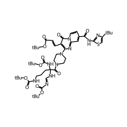 CC(C)(C)OC(=O)C=Cc1c(N2CCN(C(=O)C(CCCNC(=O)OC(C)(C)C)(NC=NC(=O)OC(C)(C)C)NC(=O)OC(C)(C)C)CC2)nc2cc(C(=O)Nc3nc(C(C)(C)C)cs3)ccn2c1=O